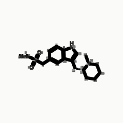 CNS(=O)(=O)Cc1ccc2[nH]cc(C[C@H]3CCCCN3C)c2c1